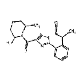 CC(C=O)c1ccccc1-c1nc(C(=O)N2C(C)CCCC2C)cs1